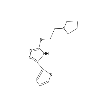 c1csc(-c2nnc(SCCN3CCCC3)[nH]2)c1